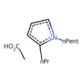 CC(=O)O.CCCCCn1cccc1CCC